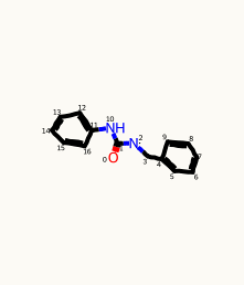 O=C([N]Cc1ccccc1)Nc1ccccc1